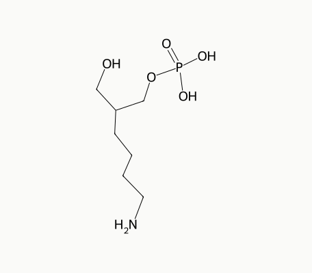 NCCCCC(CO)COP(=O)(O)O